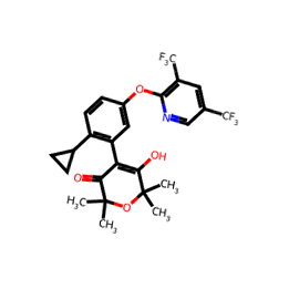 CC1(C)OC(C)(C)C(O)=C(c2cc(Oc3ncc(C(F)(F)F)cc3C(F)(F)F)ccc2C2CC2)C1=O